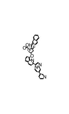 O=C(O)N1CC(Oc2cccc3ccc(-c4cnc5cc(-c6cccnc6)ccn45)nc23)CC1(F)Cc1ccc2ccccc2c1